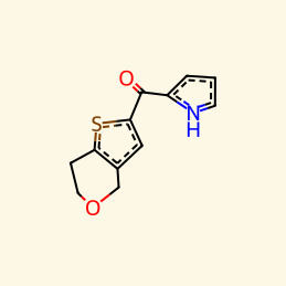 O=C(c1ccc[nH]1)c1cc2c(s1)CCOC2